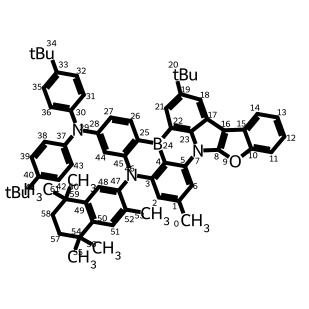 Cc1cc2c3c(c1)-n1c4oc5ccccc5c4c4cc(C(C)(C)C)cc(c41)B3c1ccc(N(c3ccc(C(C)(C)C)cc3)c3ccc(C(C)(C)C)cc3)cc1N2c1cc2c(cc1C)C(C)(C)CCC2(C)C